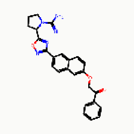 N=C(N)N1CCCC1c1nc(-c2ccc3cc(OCC(=O)c4ccccc4)ccc3c2)no1